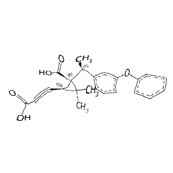 C[C@@H](c1cccc(Oc2ccccc2)c1)[C@@]1(C(=O)O)[C@H](C#CC(=O)O)C1(C)C